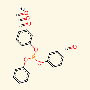 [C]=O.[C]=O.[C]=O.[C]=O.[Ru].c1ccc(OP(Oc2ccccc2)Oc2ccccc2)cc1